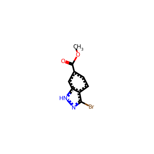 COC(=O)c1ccc2c(Br)n[nH]c2c1